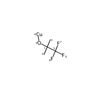 CC(C)([O][Cu])C(F)(F)F